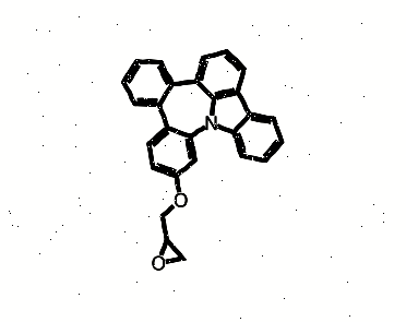 c1ccc2c(c1)-c1ccc(OCC3CO3)cc1-n1c3ccccc3c3cccc-2c31